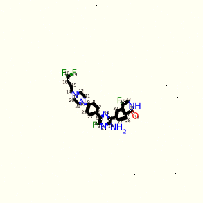 Nc1nc(F)c(-c2ccc(N3CCN(CCCC(F)F)CC3)cc2)nc1-c1ccc2c(=O)[nH]cc(F)c2c1